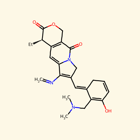 C=NC1=C(/C=C2\CC=CC(O)=C2CN(C)C)Cn2c1cc1c(c2=O)COC(=O)[C@@H]1CC